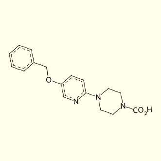 O=C(O)N1CCN(c2ccc(OCc3ccccc3)cn2)CC1